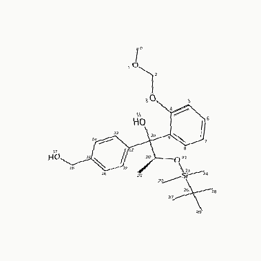 COCOc1ccccc1C(O)(c1ccc(CO)cc1)[C@H](C)O[Si](C)(C)C(C)(C)C